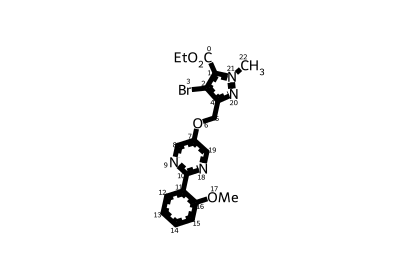 CCOC(=O)c1c(Br)c(COc2cnc(-c3ccccc3OC)nc2)nn1C